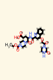 CCOC(=O)N1CCN(C(=O)C(CCC(=O)O)NC(=O)c2cc(OCC(=O)N3CCNC(=O)C3)c3ccccc3n2)CC1